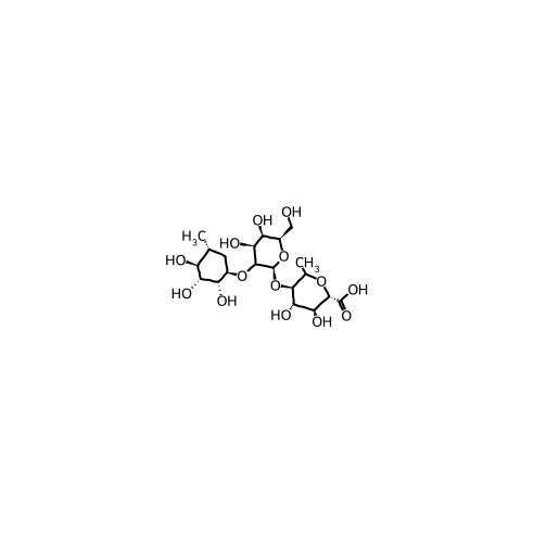 CC1O[C@H](C(=O)O)[C@@H](O)[C@H](O)[C@H]1O[C@@H]1O[C@H](CO)[C@H](O)[C@H](O)C1O[C@@H]1C[C@@H](C)[C@H](O)[C@@H](O)[C@H]1O